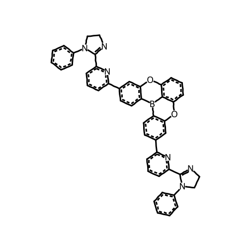 c1ccc(N2CCN=C2c2cccc(-c3ccc4c(c3)Oc3cccc5c3B4c3ccc(-c4cccc(C6=NCCN6c6ccccc6)n4)cc3O5)n2)cc1